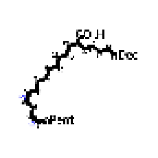 CCCCC/C=C\C/C=C\CCCCCCCCC(CCCCCCCCCCCCCC)C(=O)O